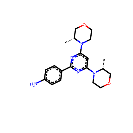 C[C@@H]1COCCN1c1cc(N2CCOC[C@H]2C)nc(-c2ccc(N)cc2)n1